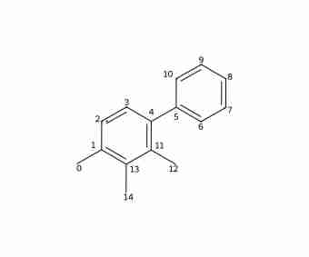 Cc1[c]cc(-c2ccccc2)c(C)c1C